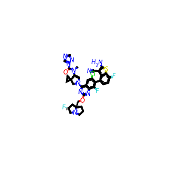 CN(C(=O)n1cncn1)C1CN(c2nc(OC[C@@]34CCCN3C[C@H](F)C4)nc3c(F)c(-c4ccc(F)c5sc(N)c(C#N)c45)c(Cl)cc23)CC12CC2